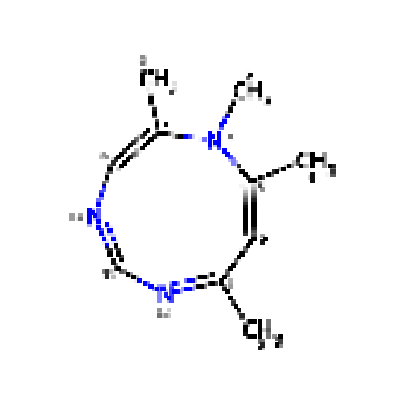 Cc1cc(C)n(C)c(C)cncn1